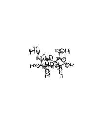 C[C@]1(O)[C@H](O[C@@H]2O[C@H](CO)[C@H](O)[C@H](O)[C@H]2O)[C@@H](CO)OC(O)[C@@H]1O